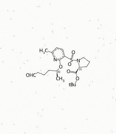 Cc1ccc(S(=O)(=O)N2CCC[C@H]2C(=O)OC(C)(C)C)c(O[C@@H](C)CCCC=O)n1